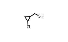 SCC1CC1Cl